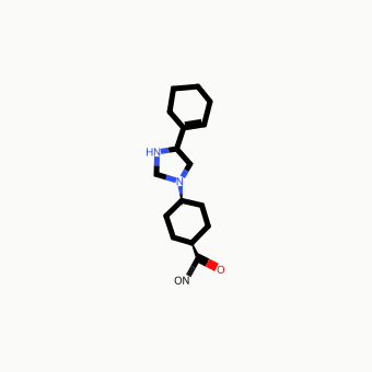 O=NC(=O)[C@H]1CC[C@@H](N2CNC(C3=CCCCC3)C2)CC1